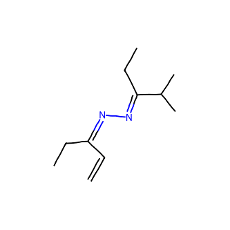 C=C/C(CC)=N\N=C(/CC)C(C)C